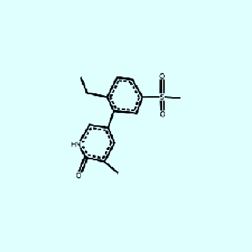 CCc1ccc(S(C)(=O)=O)cc1-c1c[nH]c(=O)c(C)c1